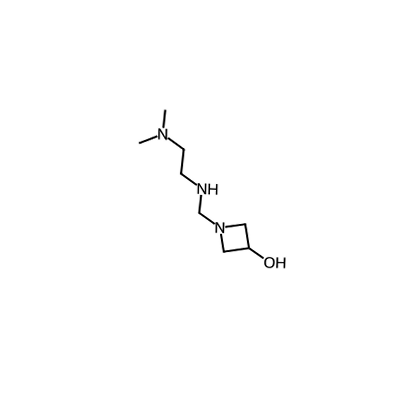 CN(C)CCNCN1CC(O)C1